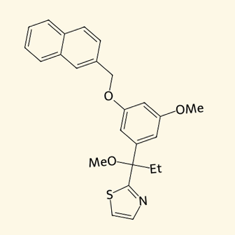 CCC(OC)(c1cc(OC)cc(OCc2ccc3ccccc3c2)c1)c1nccs1